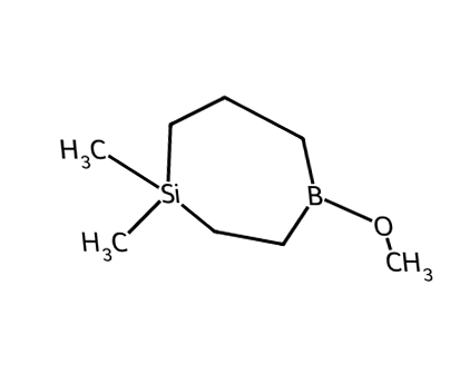 COB1CCC[Si](C)(C)CC1